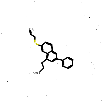 C=CCSc1ccc2cc(-c3ccccc3)cc(CCNC(C)=O)c2c1